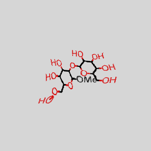 COC1OC(COO)C(O)C(O)C1OC1OC(CO)C(O)C(O)C1O